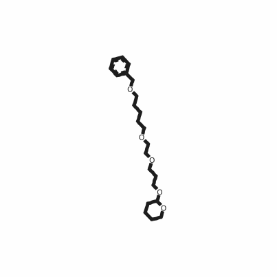 c1ccc(COCCCCCOCCOCCCOC2CCCCO2)cc1